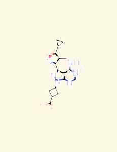 Nc1ncnc2c1c(-c1noc(C3CC3)c1I)nn2C1CC(C(=O)O)C1